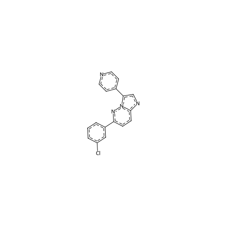 Clc1cccc(-c2ccc3ncc(-c4ccncc4)n3n2)c1